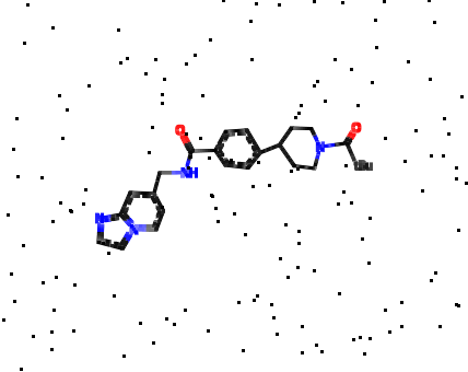 CC(C)(C)C(=O)N1CCC(c2ccc(C(=O)NCc3ccn4ccnc4c3)cc2)CC1